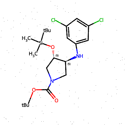 CC(C)(C)OC(=O)N1C[C@H](Nc2cc(Cl)cc(Cl)c2)[C@@H](O[Si](C)(C)C(C)(C)C)C1